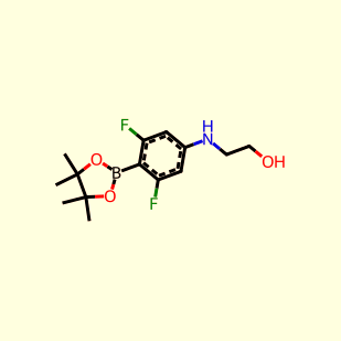 CC1(C)OB(c2c(F)cc(NCCO)cc2F)OC1(C)C